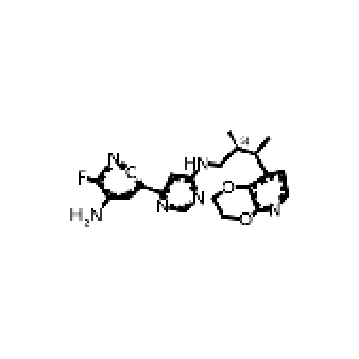 CC(c1ccnc2c1OCCO2)[C@H](C)CNc1cc(-c2cnc(F)c(N)c2)ncn1